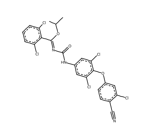 CC(C)OC(=NC(=O)Nc1cc(Cl)c(Oc2ccc(C#N)c(Cl)c2)c(Cl)c1)c1c(Cl)cccc1Cl